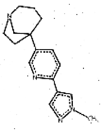 Cn1cc(-c2ccc(C34CCCN(CC3)C4)cn2)cn1